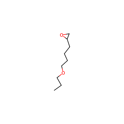 CCCOCCCCC1CO1